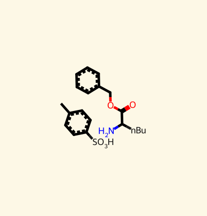 CCCCC(N)C(=O)OCc1ccccc1.Cc1ccc(S(=O)(=O)O)cc1